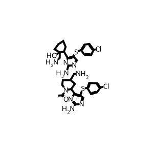 CC(=O)N1CCC(CN)CC1c1nc(N)ncc1Sc1ccc(Cl)cc1.NCC1(O)CCCCC1c1nc(N)ncc1Sc1ccc(Cl)cc1